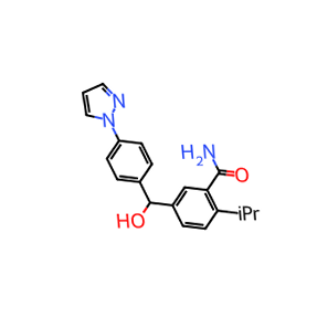 CC(C)c1ccc(C(O)c2ccc(-n3cccn3)cc2)cc1C(N)=O